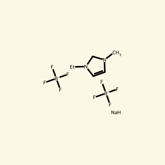 CCN1C=CN(C)C1.F[B-](F)(F)F.F[B-](F)(F)F.[NaH]